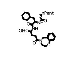 CCCCCOC(=O)NC(CC1CCCCC1)C(=O)NC(C=O)CCC(=O)N1CCOc2ccccc2C1